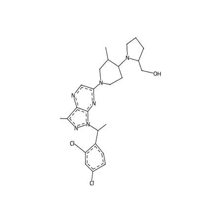 Cc1nn(C(C)c2ccc(Cl)cc2Cl)c2nc(N3CCC(N4CCCC4CO)C(C)C3)cnc12